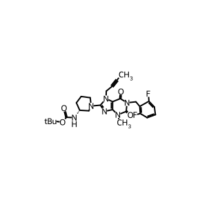 CC#CCn1c(N2CCC[C@@H](NC(=O)OC(C)(C)C)C2)nc2c1c(=O)n(Cc1c(F)cccc1F)c(=O)n2C